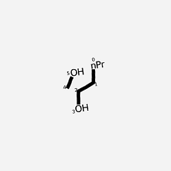 CCCCCO.CO